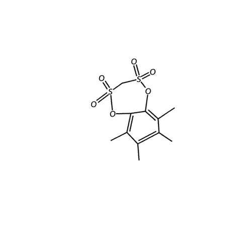 Cc1c(C)c(C)c2c(c1C)OS(=O)(=O)CS(=O)(=O)O2